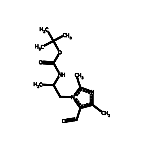 Cc1nc(C)n(CC(C)NC(=O)OC(C)(C)C)c1C=O